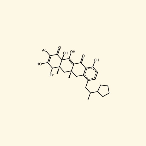 CC(=O)C1=C(O)C(C(C)C)[C@@]2(C)C[C@@]3(C)Cc4c(CC(C)C5CCCC5)ccc(O)c4C(=O)C3=C(O)[C@@]2(O)C1=O